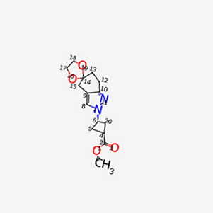 COC(=O)[C@H]1C[C@@H](n2cc3c(n2)CCC2(C3)OCCO2)C1